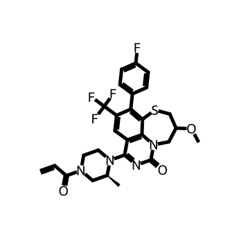 C=CC(=O)N1CCN(c2nc(=O)n3c4c(c(-c5ccc(F)cc5)c(C(F)(F)F)cc24)SCC(OC)C3)[C@@H](C)C1